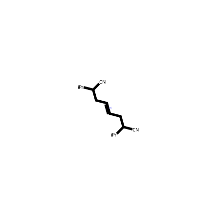 CC(C)C(C#N)C/C=C/CC(C#N)C(C)C